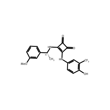 COc1cccc([C@@H](C)Nc2c(Nc3ccc(O)c(C(F)(F)F)c3)c(=O)c2=O)c1